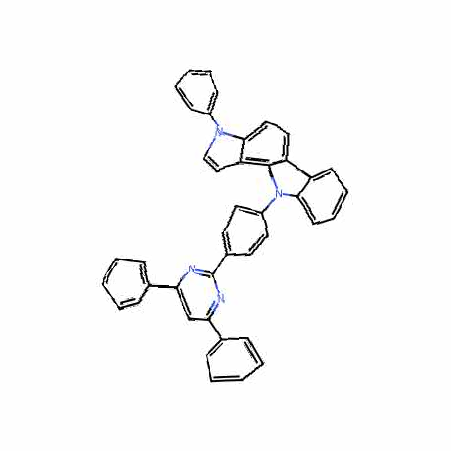 c1ccc(-c2cc(-c3ccccc3)nc(-c3ccc(-n4c5ccccc5c5ccc6c(ccn6-c6ccccc6)c54)cc3)n2)cc1